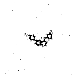 FC(F)(F)c1ccc(-c2ccc3nccc(Nc4cccc(C(F)(F)F)c4)c3c2)cc1